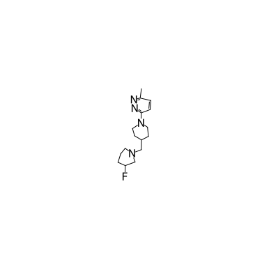 Cc1ccc(N2CCC(CN3CCCC(F)C3)CC2)nn1